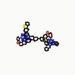 c1ccc(-c2nc(-c3ccc4c(c3)sc3ccccc34)nc(-c3cccc4oc5ccc6ccc(-n7c8ccccc8c8cc9cc(-c%10ccc%11sc%12c(-c%13nc(-c%14ccccc%14)nc(-c%14cccc%15oc%16ccc%17ccc(-n%18c%19cc%20ccccc%20cc%19c%19cc%20ccccc%20cc%19%18)cc%17c%16c%14%15)n%13)cccc%12c%11c%10)ccc9cc87)cc6c5c34)n2)cc1